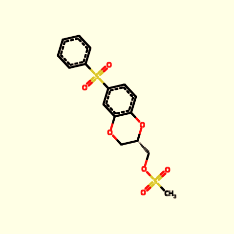 CS(=O)(=O)OC[C@@H]1COc2cc(S(=O)(=O)c3ccccc3)ccc2O1